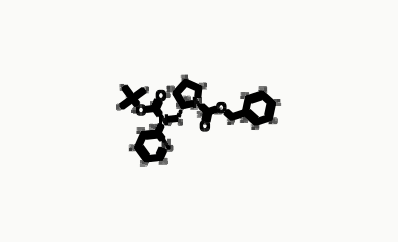 CC(C)(C)OC(=O)N(C[C@@H]1CCCN1C(=O)OCc1ccccc1)c1ccccn1